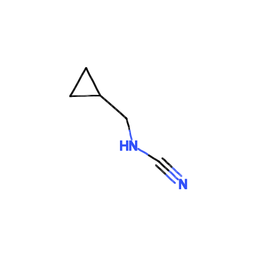 N#CNCC1CC1